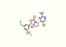 CN(C)c1ncc(Br)c([C@@H]2CC[C@H]3[C@@H](c4cc(CF)cc(C(F)(F)F)c4)OC(=O)N23)n1